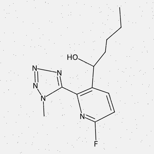 CCCCC(O)c1ccc(F)nc1-c1nnnn1C